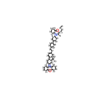 C=C/C=C\C1=C(C)N(c2ccc(-c3ccc(/C=C/C4=CC=C5C6C=CC(N7c8ccccc8Oc8ccccc87)=CC6C(C)(C)C5C4)cc3)cc2)c2ccccc2O1